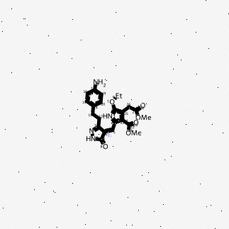 CCOc1[nH]c(/C=C2/C(=O)NN=C2CCc2ccc(N)cc2)c(C(=O)OC)c1CC(=O)OC